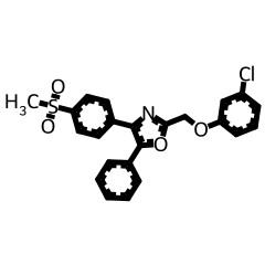 CS(=O)(=O)c1ccc(-c2nc(COc3cccc(Cl)c3)oc2-c2ccccc2)cc1